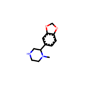 CN1CCNCC1c1ccc2c(c1)OCO2